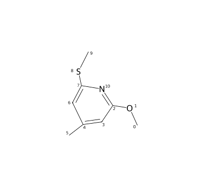 COc1cc(C)cc(SC)n1